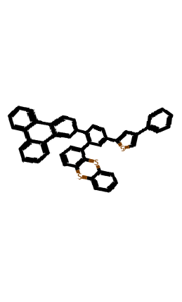 c1ccc(-c2csc(-c3ccc(-c4ccc5c6ccccc6c6ccccc6c5c4)c(-c4cccc5c4Sc4ccccc4S5)c3)c2)cc1